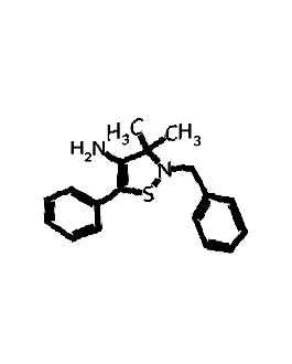 CC1(C)C(N)=C(c2ccccc2)SN1Cc1ccccc1